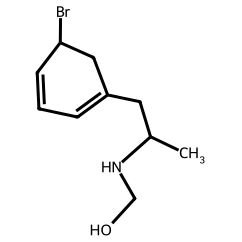 CC(CC1=CC=CC(Br)C1)NCO